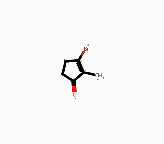 CC1=C(Br)CCC1=O